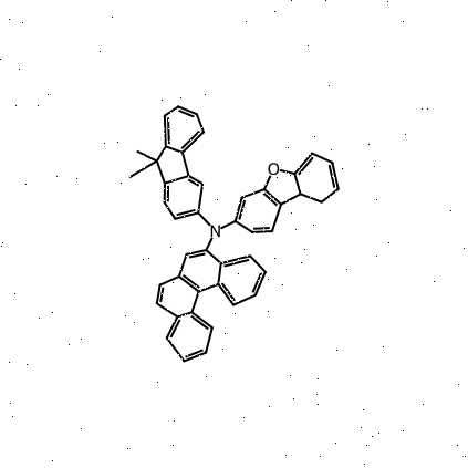 CC1(C)c2ccccc2-c2cc(N(c3ccc4c(c3)OC3=CC=CCC34)c3cc4ccc5ccccc5c4c4ccccc34)ccc21